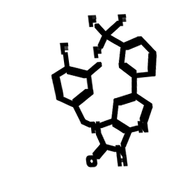 Cc1cc(Cn2c(=O)[nH]c3ncc(-c4cccc(C(F)(F)F)c4)cc32)ccc1F